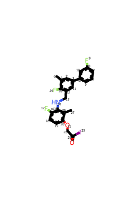 Cc1cc(-c2cccc(F)c2)cc(CNc2c(F)ccc(OCC(=O)I)c2C)c1F